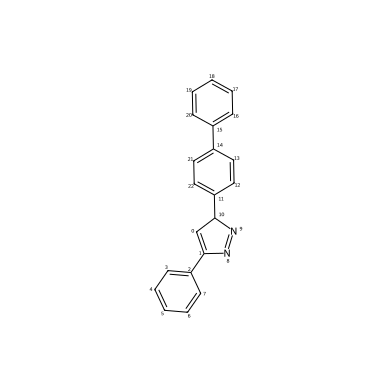 C1=C(c2ccccc2)N=NC1c1ccc(-c2ccccc2)cc1